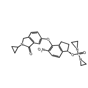 O=C1c2cc(Oc3c([N+](=O)[O-])ccc4c3CC[C@H]4OP(=O)(N3CC3)N3CC3)ccc2CN1C1CC1